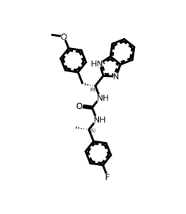 COc1ccc(C[C@@H](NC(=O)N[C@@H](C)c2ccc(F)cc2)c2nc3ccccc3[nH]2)cc1